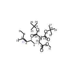 CC/C(I)=C\CC[C@@H](C(=O)OC)N(C(=O)OC(C)(C)C)C(=O)OC(C)(C)C